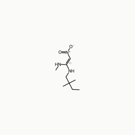 CCC(C)(C)CN/C(=C/[N+](=O)[O-])NC